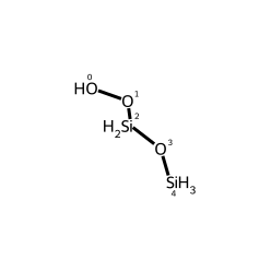 OO[SiH2]O[SiH3]